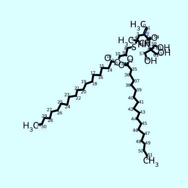 C/C=C(\CC(C)(C)SCC(COC(=O)CCCCCCCCCCCCCCCCCC)OC(=O)CCCCCCCCCCCCCCCCCC)C(=O)NC(CO)(CO)CO